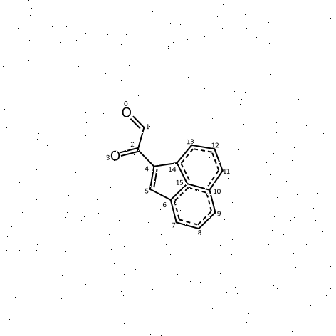 O=CC(=O)C1=Cc2cccc3cccc1c23